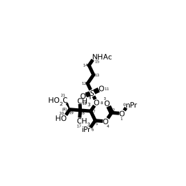 CCCOC(=O)OC(C(C)C)C(OS(=O)(=O)CCCNC(C)=O)C(C)(C)[C@@H](O)C(=O)O